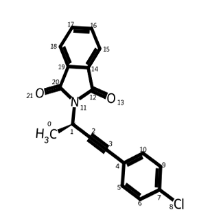 C[C@H](C#Cc1ccc(Cl)cc1)N1C(=O)c2ccccc2C1=O